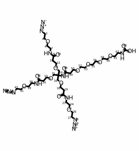 [N-]=[N+]=NCCOCCNC(=O)CCOCC(COCCC(=O)NCCOCCN=[N+]=[N-])(COCCC(=O)NCCOCCN=[N+]=[N-])NC(=O)CCOCCOCCOCCOCCNC(=O)O